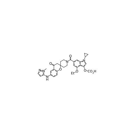 CCOc1cc(C(=O)N2CCC3(CC2)CC(=O)c2cc(Nc4ccnn4C)ccc2O3)cc2c1c(OC(=O)O)cn2C1CC1